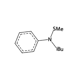 CCC(C)N(SC)c1ccccc1